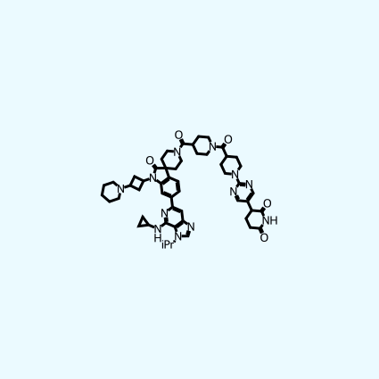 CC(C)n1cnc2cc(-c3ccc4c(c3)N(C3CC(N5CCCCC5)C3)C(=O)C43CCN(C(=O)C4CCN(C(=O)C5CCN(c6ncc(C7CCC(=O)NC7=O)cn6)CC5)CC4)CC3)nc(NC3CC3)c21